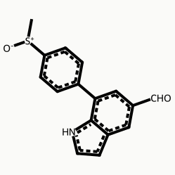 C[S+]([O-])c1ccc(-c2cc(C=O)cc3cc[nH]c23)cc1